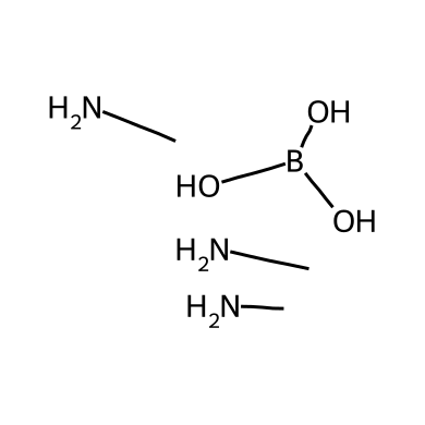 CN.CN.CN.OB(O)O